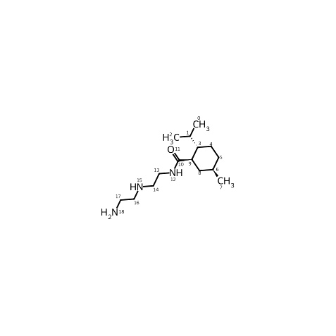 CC(C)[C@@H]1CC[C@@H](C)C[C@H]1C(=O)NCCNCCN